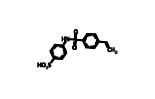 C=Cc1ccc(S(=O)(=O)Nc2ccc(S(=O)(=O)O)cc2)cc1